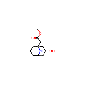 COC(=O)CC12CCCC(CC(O)C1)N2